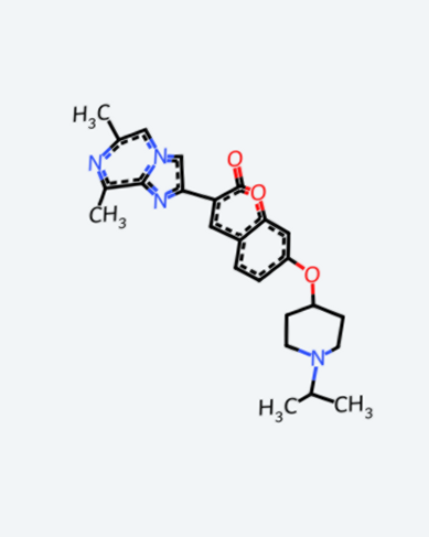 Cc1cn2cc(-c3cc4ccc(OC5CCN(C(C)C)CC5)cc4oc3=O)nc2c(C)n1